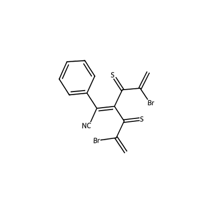 C=C(Br)C(=S)C(C(=S)C(=C)Br)=C(C#N)c1ccccc1